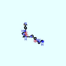 COc1cc(C2=CCCN(CCCC(=O)N[C@H](C(=O)N3CCC[C@H]3C(=O)NCc3ccc(-c4scnc4C)cc3)C(C)(C)C)C2)ccc1NC(=O)c1cccc(-c2ccn[nH]2)n1